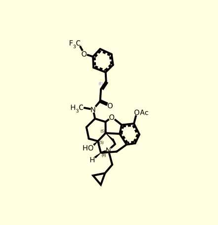 CC(=O)Oc1ccc2c3c1OC1C(N(C)C(=O)/C=C/c4cccc(OC(F)(F)F)c4)CC[C@@]4(O)[C@@H](C2)N(CC2CC2)CC[C@]314